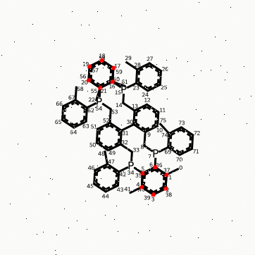 Cc1ccccc1P(Cc1cccc(CP(c2ccccc2C)c2ccccc2C)c1-c1c(CP(c2ccccc2C)c2ccccc2C)cccc1CP(c1ccccc1C)c1ccccc1C)c1ccccc1C